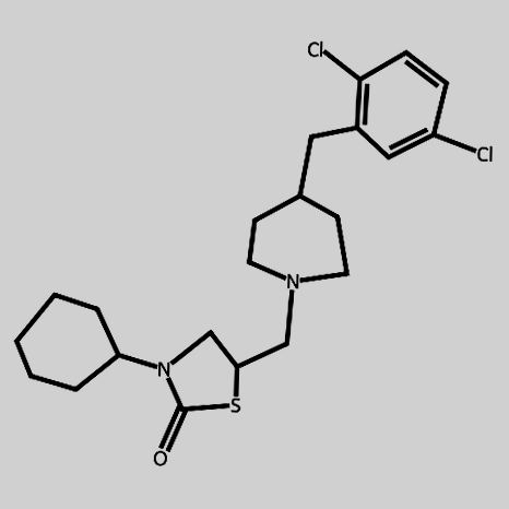 O=C1SC(CN2CCC(Cc3cc(Cl)ccc3Cl)CC2)CN1C1CCCCC1